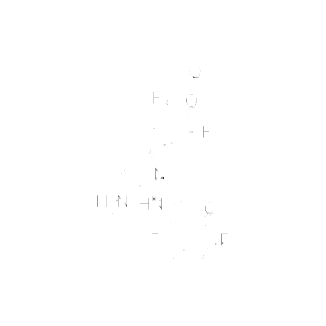 Nc1ccc(-c2cc(F)c(OC=O)c(F)c2)nc1NCc1c(F)ccc(F)c1Cl